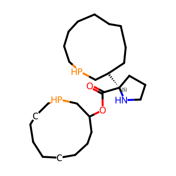 O=C(OC1CCCCCCCCCPC1)[C@@]1(C2CCCCCCCCCPC2)CCCN1